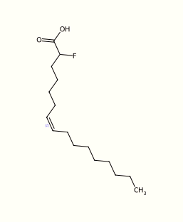 CCCCCCCC/C=C\CCCCC(F)C(=O)O